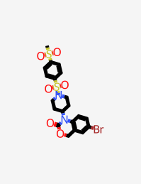 CS(=O)(=O)c1ccc(S(=O)(=O)N2CCC(N3C(=O)OCc4cc(Br)ccc43)CC2)cc1